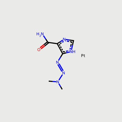 CN(C)N=Nc1[nH]cnc1C(N)=O.[Pt]